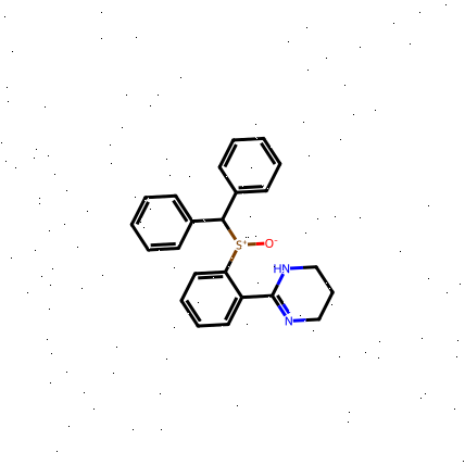 [O-][S+](c1ccccc1C1=NCCCN1)C(c1ccccc1)c1ccccc1